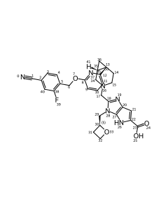 N#Cc1ccc(COc2cccc([C@@]34CCN(Cc5nc6cc(C(=O)O)[nH]c6n5C[C@@H]5CCO5)C[C@@H]3C4)n2)c(F)c1